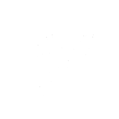 C=CC(=O)OCCCCCCOc1ccc(C(=O)O)cc1.Cc1cc(O)ccc1O